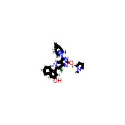 CN1CCC[C@H]1COc1nc(N2CC3NC(C2)C2CC32)c2cnc(-c3cc(O)cc4ccccc34)c(F)c2n1